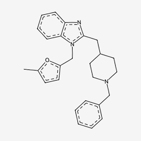 Cc1ccc(Cn2c(CC3CCN(Cc4ccccc4)CC3)nc3ccccc32)o1